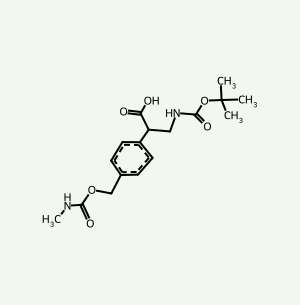 CNC(=O)OCc1ccc(C(CNC(=O)OC(C)(C)C)C(=O)O)cc1